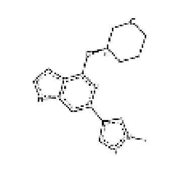 Cn1cc(-c2cn3nccc3c(O[C@@H]3CCCOC3)n2)cn1